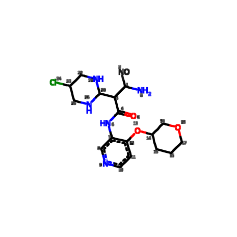 NC(N=O)C(C(=O)Nc1cnccc1OC1CCCOC1)C1NCC(Cl)CN1